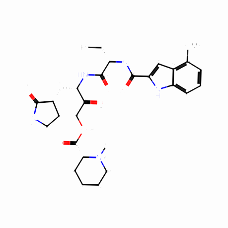 COc1cccc2[nH]c(C(=O)N[C@@H](CC(C)C)C(=O)N[C@@H](C[C@@H]3CCNC3=O)C(=O)COC(=O)[C@H]3CCCCN3C)cc12